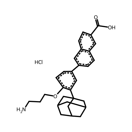 Cl.NCCCOc1ccc(-c2ccc3cc(C(=O)O)ccc3c2)cc1C12CC3CC(CC(C3)C1)C2